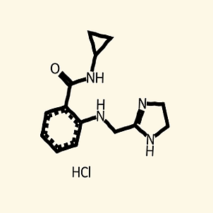 Cl.O=C(NC1CC1)c1ccccc1NCC1=NCCN1